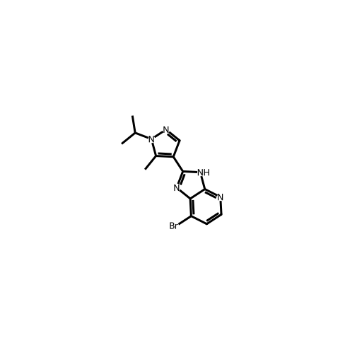 Cc1c(-c2nc3c(Br)ccnc3[nH]2)cnn1C(C)C